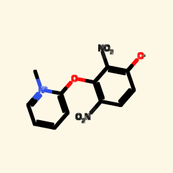 C[n+]1ccccc1Oc1c([N+](=O)[O-])ccc([O])c1[N+](=O)[O-]